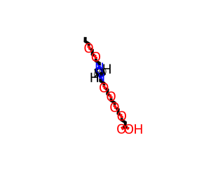 CCCOCCOCCN1C[C@@H]2C[C@H]1CN2CCOCCOCCOCCOCCC(=O)O